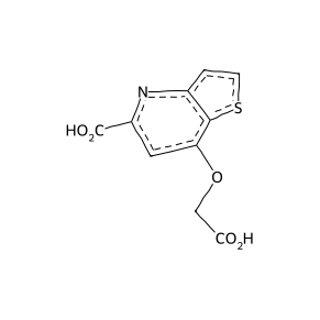 O=C(O)COc1cc(C(=O)O)nc2ccsc12